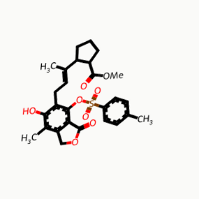 COC(=O)C1CCCC1/C(C)=C/Cc1c(O)c(C)c2c(c1OS(=O)(=O)c1ccc(C)cc1)C(=O)OC2